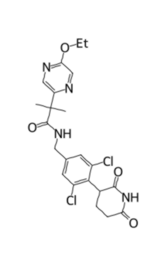 CCOc1cnc(C(C)(C)C(=O)NCc2cc(Cl)c(C3CCC(=O)NC3=O)c(Cl)c2)cn1